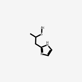 CC(=O)SC(C)Cc1ncc[nH]1